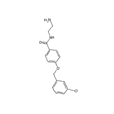 NCCNC(=O)c1ccc(OCc2cccc(Cl)c2)cc1